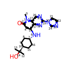 Cn1c(=O)cc(N[C@H]2CC[C@H](C(C)(C)O)CC2)c2nc(-n3ccnc3)ncc21